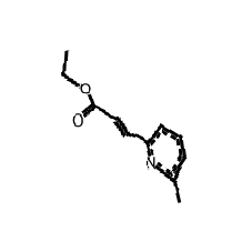 CCOC(=O)C=Cc1cccc(C)n1